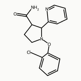 NC(=O)C1CCN(Oc2ccccc2Cl)C1c1ccccn1